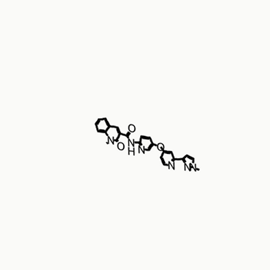 Cn1ccc(-c2cc(Oc3ccc(NC(=O)c4cc5ccccc5n(C)c4=O)nc3)ccn2)n1